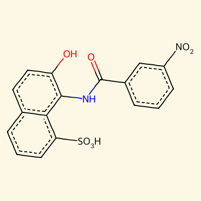 O=C(Nc1c(O)ccc2cccc(S(=O)(=O)O)c12)c1cccc([N+](=O)[O-])c1